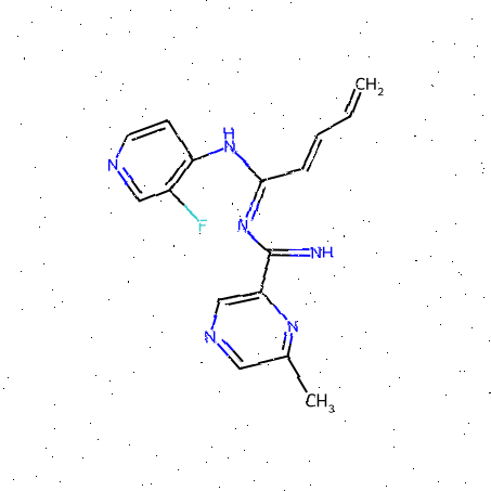 C=C/C=C/C(=N\C(=N)c1cncc(C)n1)Nc1ccncc1F